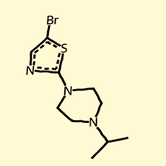 CC(C)N1CCN(c2ncc(Br)s2)CC1